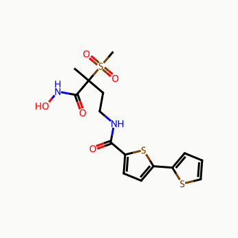 CC(CCNC(=O)c1ccc(-c2cccs2)s1)(C(=O)NO)S(C)(=O)=O